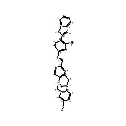 Oc1cc(/N=C/c2ccc3c(c2)CN2CN3Cc3cc(Br)ccc32)ccc1-c1nc2ccccc2s1